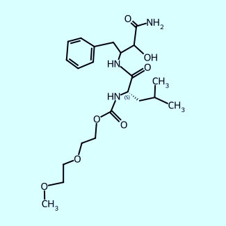 COCCOCCOC(=O)N[C@@H](CC(C)C)C(=O)NC(Cc1ccccc1)C(O)C(N)=O